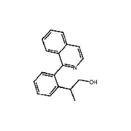 CC(CO)c1ccccc1-c1nccc2ccccc12